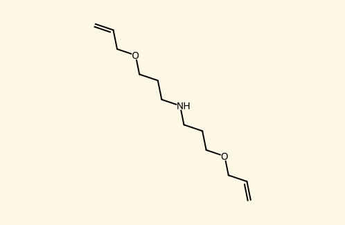 C=CCOCCCNCCCOCC=C